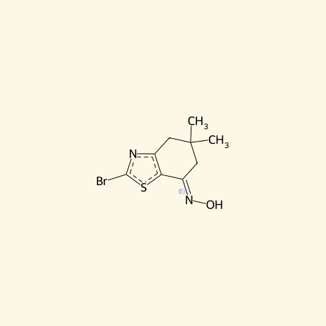 CC1(C)C/C(=N\O)c2sc(Br)nc2C1